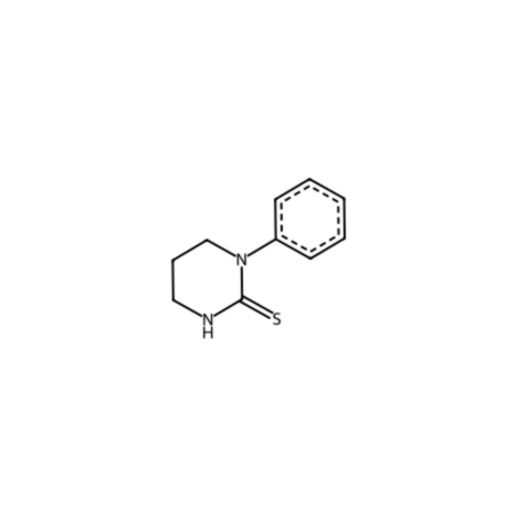 S=C1NCCCN1c1ccccc1